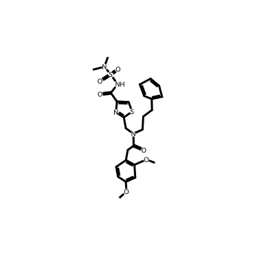 COc1ccc(CC(=O)N(CCCc2ccccc2)Cc2nc(C(=O)NS(=O)(=O)N(C)C)cs2)c(OC)c1